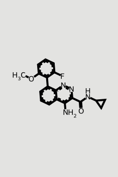 COc1cccc(F)c1-c1cccc2c(N)c(C(=O)NC3CC3)nnc12